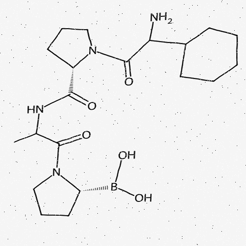 CC(NC(=O)[C@@H]1CCCN1C(=O)C(N)C1CCCCC1)C(=O)N1CCC[C@H]1B(O)O